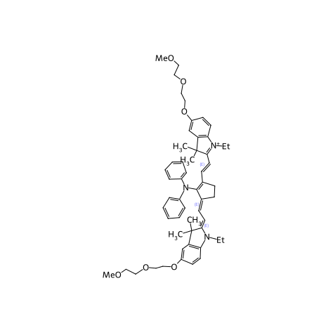 CCN1/C(=C/C=C2\CCC(/C=C/C3=[N+](CC)c4ccc(OCCOCCOC)cc4C3(C)C)=C2N(c2ccccc2)c2ccccc2)C(C)(C)c2cc(OCCOCCOC)ccc21